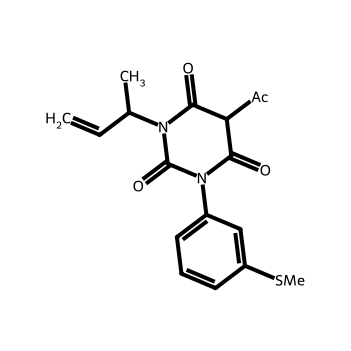 C=CC(C)N1C(=O)C(C(C)=O)C(=O)N(c2cccc(SC)c2)C1=O